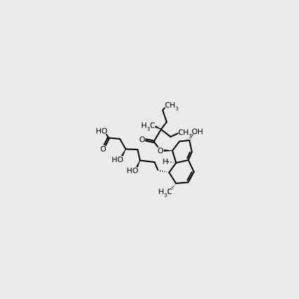 CCC[C@](C)(CC)C(=O)O[C@H]1C[C@H](O)C=C2C=C[C@H](C)[C@H](CC[C@@H](O)C[C@@H](O)CC(=O)O)[C@H]21